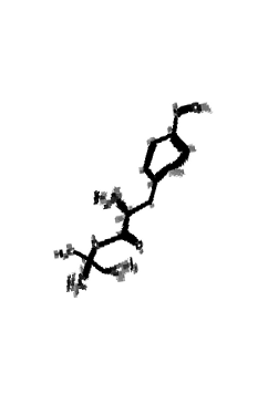 CC(C)(C)OC(=O)[C@@H](N)Cc1ccc(N=O)cc1